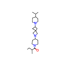 CCC(C)C(=O)N1CCC(N2CC3(CC(N4CCC(C(C)C)CC4)C3)C2)CC1